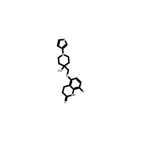 O=C1CCc2c(OCC3(O)CCN(c4ccsc4)CC3)ccc(F)c2N1